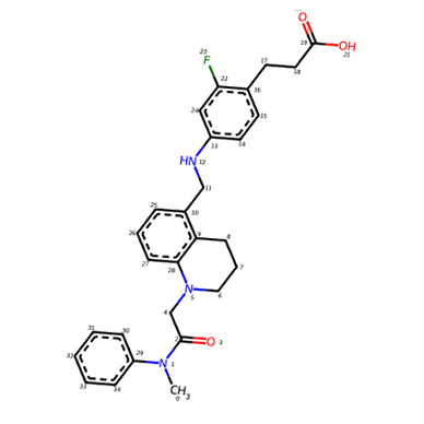 CN(C(=O)CN1CCCc2c(CNc3ccc(CCC(=O)O)c(F)c3)cccc21)c1ccccc1